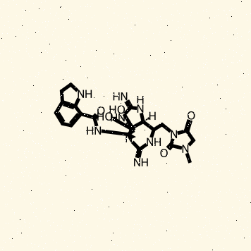 CN1CC(=O)N(CC2NC(=N)N3CC(NC(=O)c4cccc5c4NCC5)C(O)(O)[C@@]34NC(=N)N[C@@H]24)C1=O